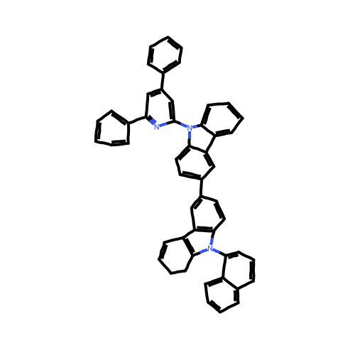 C1=Cc2c(n(-c3cccc4ccccc34)c3ccc(-c4ccc5c(c4)c4ccccc4n5-c4cc(-c5ccccc5)cc(-c5ccccc5)n4)cc23)CC1